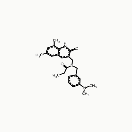 CCC(=O)N(Cc1cccc(N(C)C)c1)Cc1cc2cc(C)cc(C)c2[nH]c1=O